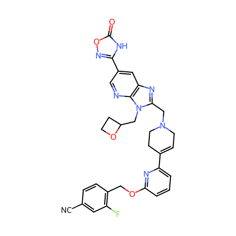 N#Cc1ccc(COc2cccc(C3=CCN(Cc4nc5cc(-c6noc(=O)[nH]6)cnc5n4CC4CCO4)CC3)n2)c(F)c1